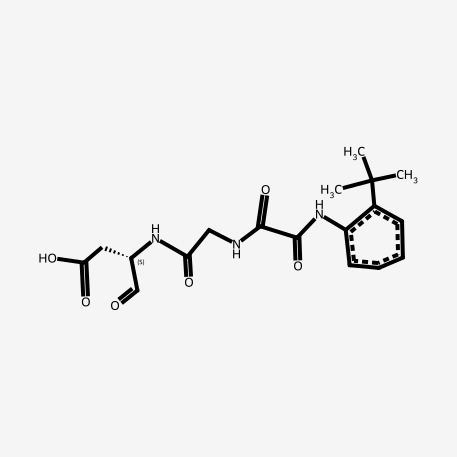 CC(C)(C)c1ccccc1NC(=O)C(=O)NCC(=O)N[C@H](C=O)CC(=O)O